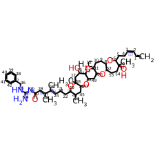 C=C/C=C\CCC1OC2CC[C@]3(C)OC4C(O)CC5(C)OC(CC/C=C(C)/C(C)=C/C(=O)/N=C(\N)NCc6ccccc6)C(C)CC5OC4CC3OC2CCC1(C)O